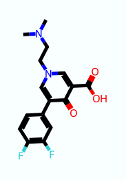 CN(C)CCn1cc(C(=O)O)c(=O)c(-c2ccc(F)c(F)c2)c1